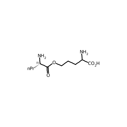 CCC[C@H](N)C(=O)OCCCC(N)C(=O)O